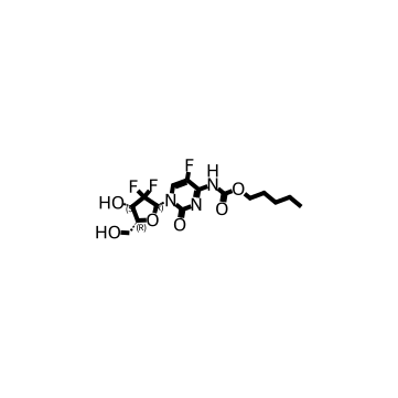 CCCCCOC(=O)Nc1nc(=O)n([C@@H]2O[C@H](CO)[C@H](O)C2(F)F)cc1F